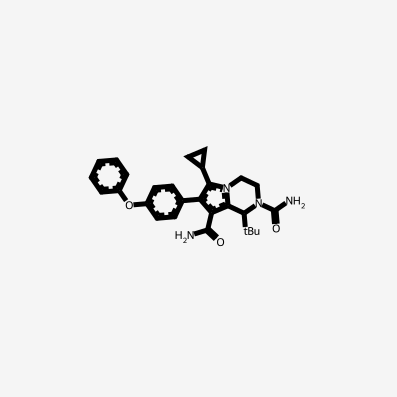 CC(C)(C)C1c2c(C(N)=O)c(-c3ccc(Oc4ccccc4)cc3)c(C3CC3)n2CCN1C(N)=O